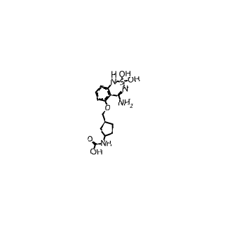 NC1=NS(O)(O)Nc2cccc(OCC3CCC(NC(=O)O)C3)c21